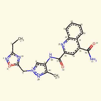 CCc1noc(Cn2cc(NC(=O)c3cc(C(N)=O)c4ccccc4n3)c(C)n2)n1